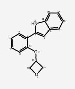 c1ccc(-c2cc3ccccc3[nH]2)c(OC2COC2)c1